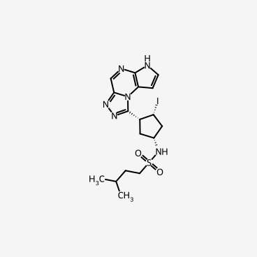 CC(C)CCS(=O)(=O)N[C@H]1C[C@@H](I)[C@@H](c2nnc3cnc4[nH]ccc4n23)C1